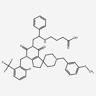 CSc1cccc(CN2CCC3(CCc4c3c(=O)n(CC(NCCCC(=O)O)c3ccccc3)c(=O)n4Cc3c(F)cccc3C(F)(F)F)CC2)c1